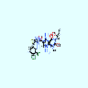 CCC(=O)Cn1c(=O)c(N[C@@H](C)C(=O)NC2(N)S[C@@H]2c2ccc(Cl)c(Cl)c2)c(N)n(C)c1=O